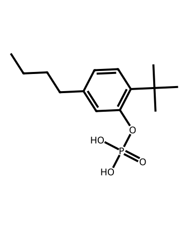 CCCCc1ccc(C(C)(C)C)c(OP(=O)(O)O)c1